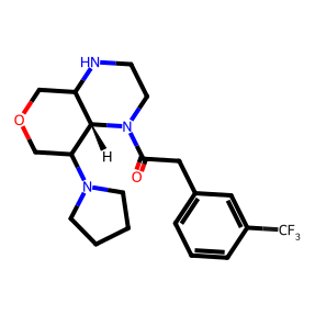 O=C(Cc1cccc(C(F)(F)F)c1)N1CCNC2COCC(N3CCCC3)[C@H]21